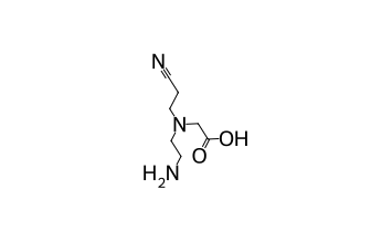 N#CCCN(CCN)CC(=O)O